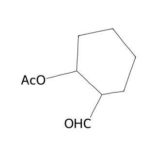 CC(=O)OC1CCCCC1C=O